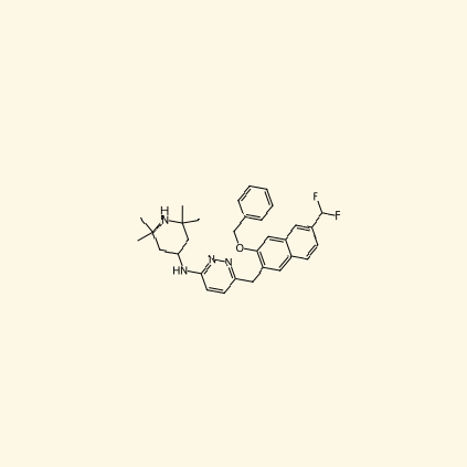 CC1(C)CC(Nc2ccc(Cc3cc4ccc(C(F)F)cc4cc3OCc3ccccc3)nn2)CC(C)(C)N1